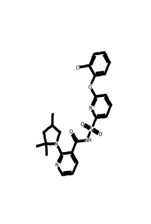 CC1CN(c2ncccc2C(=O)NS(=O)(=O)c2cccc(Oc3ccccc3Cl)n2)C(C)(C)C1